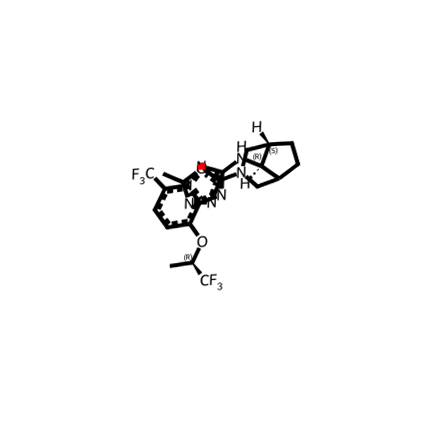 Cc1nnc(N2CC3CC[C@@H](C2)[C@@H]3Nc2nc3c(O[C@H](C)C(F)(F)F)ccc(C(F)(F)F)n3n2)o1